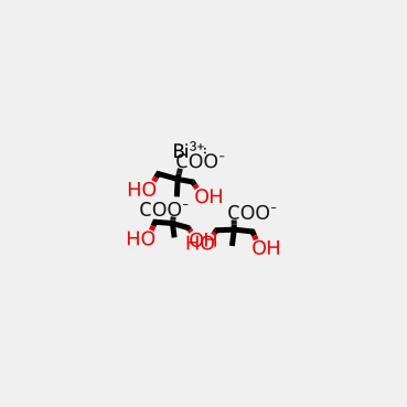 CC(CO)(CO)C(=O)[O-].CC(CO)(CO)C(=O)[O-].CC(CO)(CO)C(=O)[O-].[Bi+3]